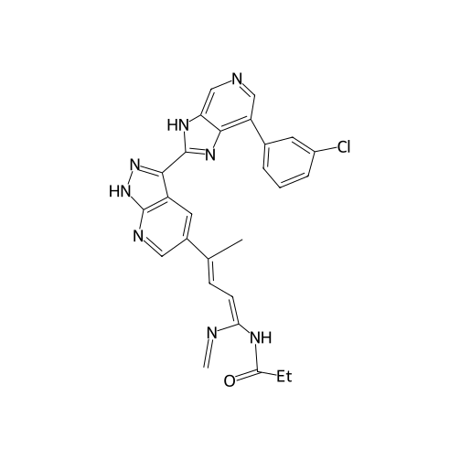 C=N/C(=C\C=C(/C)c1cnc2[nH]nc(-c3nc4c(-c5cccc(Cl)c5)cncc4[nH]3)c2c1)NC(=O)CC